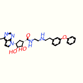 Cc1ncnc2c1ccn2[C@@H]1C[C@H](C(=O)NCCNCCc2cccc(Oc3ccccc3)c2)[C@@H](O)[C@H]1O